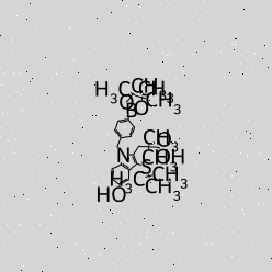 CC(C)(C)Sc1c(CC(C)(C)C(=O)O)n(Cc2ccc(B3OC(C)(C)C(C)(C)O3)cc2)c2ccc(O)cc12